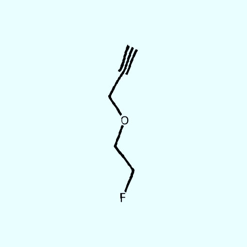 C#CCOCCF